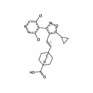 O=C(O)C12CCC(/C=C/c3c(-c4c(Cl)cncc4Cl)noc3C3CC3)(CC1)CO2